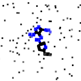 COc1ccc(NN=C2C(N)=NN=C2N)cn1